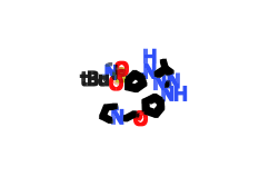 Cc1cnc(Nc2ccc(OCCN3CCCC3)cc2)nc1Nc1cccc(S(=O)(=O)N(C)C(C)(C)C)c1